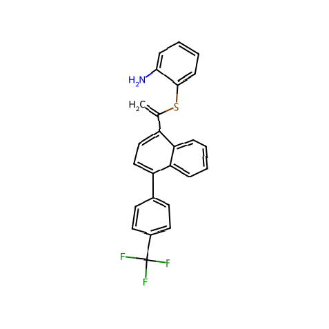 C=C(Sc1ccccc1N)c1ccc(-c2ccc(C(F)(F)F)cc2)c2ccccc12